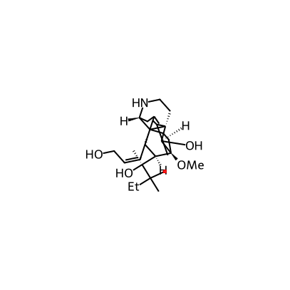 CCC(C)(C)[C@@](C)(O)[C@H]1C[C@@]23CC[C@@]1(OC)[C@H](O)[C@@]21CCN[C@@H]3CC(/C=C\CO)=C1C